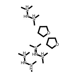 C1CCOC1.C1CCOC1.C[SiH](C)N[SiH](C)C.C[SiH](C)N[SiH](C)C.C[SiH](C)N[SiH](C)C